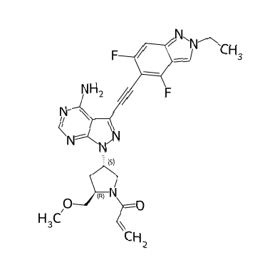 C=CC(=O)N1C[C@@H](n2nc(C#Cc3c(F)cc4nn(CC)cc4c3F)c3c(N)ncnc32)C[C@@H]1COC